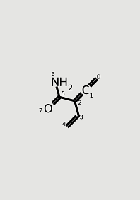 C=C=C(C=C)C(N)=O